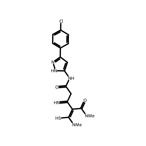 CNC(=O)/C(C(=N)CC(=O)Nc1cc(-c2ccc(Cl)cc2)n[nH]1)=C(/S)NC